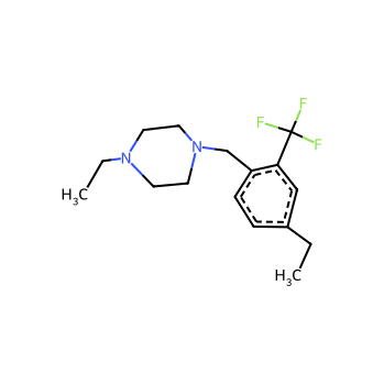 CCc1ccc(CN2CCN(CC)CC2)c(C(F)(F)F)c1